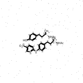 CC(=O)N[C@@H](C)CCc1ccc(O)cc1.CC(=O)N[C@@H](C)CCc1ccc(Oc2ccc([N+](=O)[O-])cn2)cc1